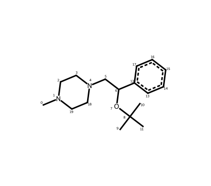 CN1CCN(CC(OC(C)(C)C)c2ccccc2)CC1